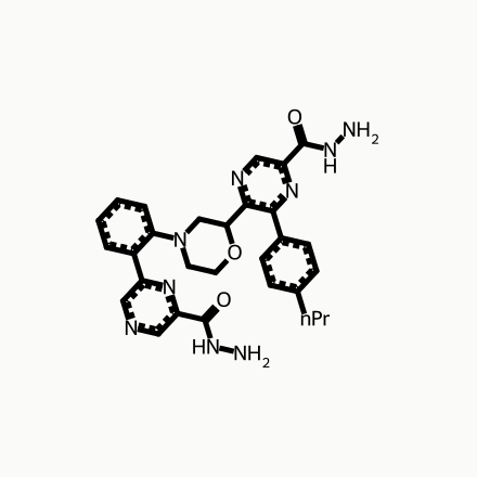 CCCc1ccc(-c2nc(C(=O)NN)cnc2C2CN(c3ccccc3-c3cncc(C(=O)NN)n3)CCO2)cc1